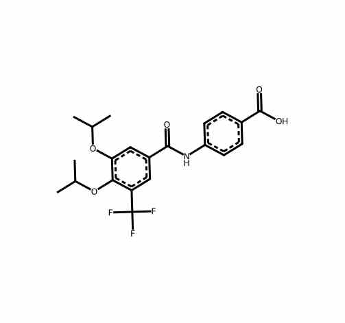 CC(C)Oc1cc(C(=O)Nc2ccc(C(=O)O)cc2)cc(C(F)(F)F)c1OC(C)C